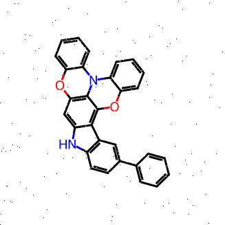 c1ccc(-c2ccc3[nH]c4cc5c6c(c4c3c2)Oc2ccccc2N6c2ccccc2O5)cc1